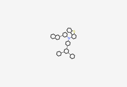 c1ccc(-c2cc(-c3ccccc3)cc(-c3ccc(N(c4cccc(-c5ccc6ccccc6c5)c4)c4cccc5sc6ccccc6c45)cc3)c2)cc1